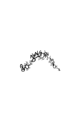 CN1CCN(CCn2ncc3c2CCc2c-3sc3ncnc(OCCc4ccc([N+](=O)[O-])cc4)c23)CC1